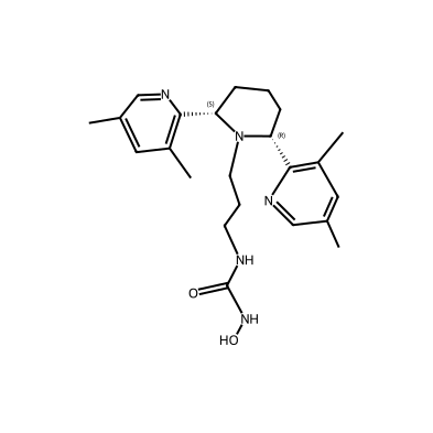 Cc1cnc([C@H]2CCC[C@@H](c3ncc(C)cc3C)N2CCCNC(=O)NO)c(C)c1